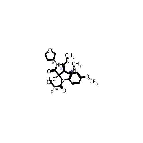 C=N/C=C(\C=N/C)[C@@](C)(C(=O)N[C@H]1CCOC1)N(C(=O)[C@H](F)Cl)c1ccc(OC(F)(F)F)cc1